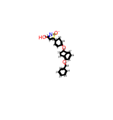 [O-][s+]1nc(O)cc1C1C=CC(OC2CCc3c(OCc4ccccc4)cccc32)=CC1